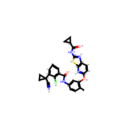 Cc1ccc(NC(=O)c2cccc(C3(C#N)CC3)c2Cl)cc1Oc1ccc2nc(NC(=O)C3CC3)sc2n1